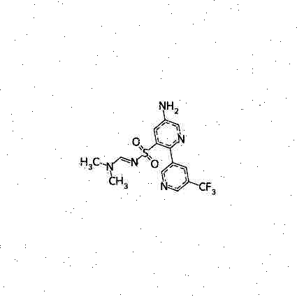 CN(C)/C=N/S(=O)(=O)c1cc(N)cnc1-c1cncc(C(F)(F)F)c1